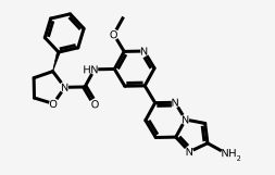 COc1ncc(-c2ccc3nc(N)cn3n2)cc1NC(=O)N1OCC[C@H]1c1ccccc1